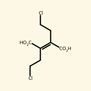 O=C(O)C(CCCl)=C(CCCl)C(=O)O